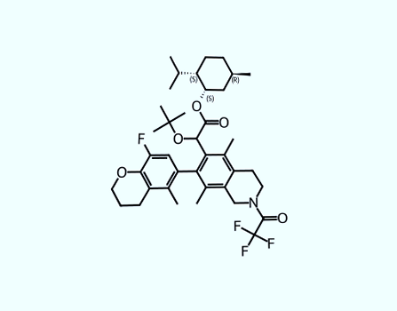 Cc1c(-c2c(C)c3c(c(C)c2C(OC(C)(C)C)C(=O)O[C@H]2C[C@H](C)CC[C@H]2C(C)C)CCN(C(=O)C(F)(F)F)C3)cc(F)c2c1CCCO2